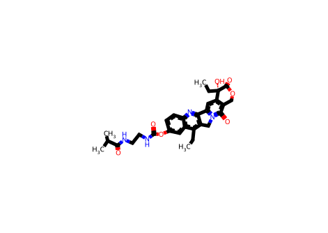 CCc1c2c(nc3ccc(OC(=O)NCCNC(=O)C(C)C)cc13)-c1cc3c(c(=O)n1C2)COC(=O)[C@]3(O)CC